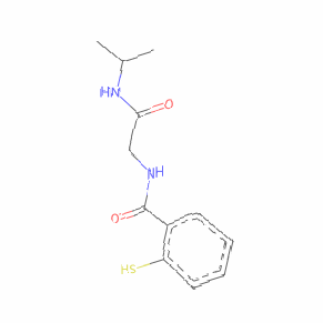 CC(C)NC(=O)CNC(=O)c1ccccc1S